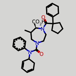 CC1CN(C(=O)N(c2ccccc2)C2C=CC=CC2)CCN(C(=O)C2(C3=CC=CCC3)CCCC2)[C@@H]1C(=O)O